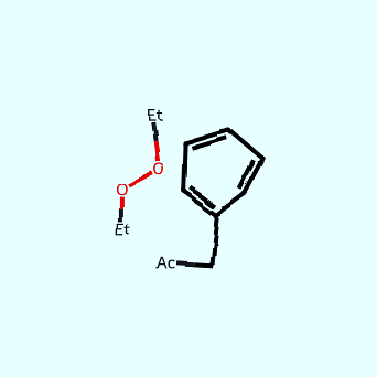 CC(=O)Cc1ccccc1.CCOOCC